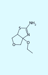 CCOC12COCC1SC(N)=N2